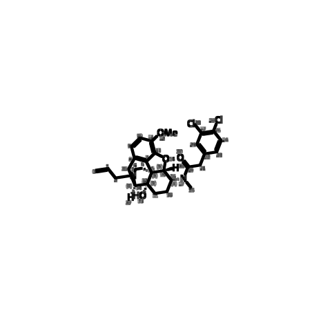 C=CCN1CC[C@]23c4c5ccc(OC)c4O[C@@H]2[C@H](N(C)C(=O)Cc2ccc(Cl)c(Cl)c2)CC[C@@]3(O)[C@H]1C5